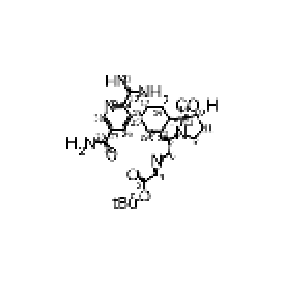 CC(C)(C)OC(=O)C=NCC(=O)N1CCC[C@]1(C(=O)O)C1CCCCC1.N=C(N)c1ccc(C(N)=O)cn1